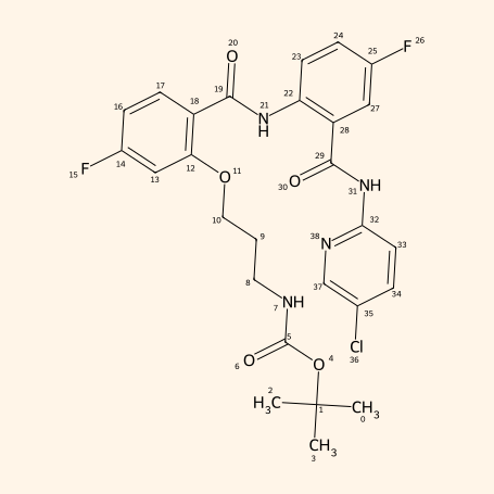 CC(C)(C)OC(=O)NCCCOc1cc(F)ccc1C(=O)Nc1ccc(F)cc1C(=O)Nc1ccc(Cl)cn1